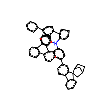 c1ccc(-c2ccc(-c3ccccc3N(c3ccc(-c4ccc5c(c4)C4(CC6CCC4C6)c4ccccc4-5)cc3)c3ccccc3-c3ccccc3-c3ccccc3-c3ccccc3)cc2)cc1